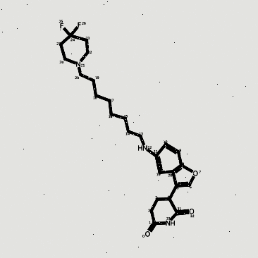 O=C1CCC(c2coc3ccc(NCCCCCCCCN4CCC(F)(F)CC4)cc23)C(=O)N1